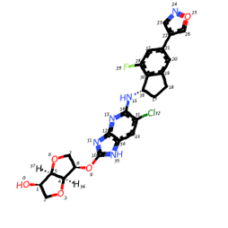 O[C@@H]1CO[C@H]2[C@@H]1OC[C@H]2Oc1nc2nc(N[C@H]3CCc4cc(-c5cnoc5)cc(F)c43)c(Cl)cc2[nH]1